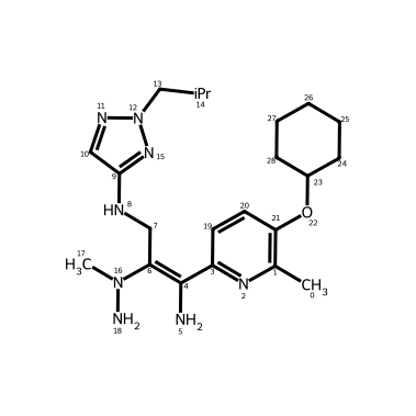 Cc1nc(/C(N)=C(\CNc2cnn(CC(C)C)n2)N(C)N)ccc1OC1CCCCC1